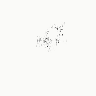 CCC(C)[C@H](NC(=O)[C@H](Cc1c[nH]cn1)NC(=O)[C@@H]1CSSC[C@H](C)C(=O)N2CCC[C@H]2C(=O)N[C@@H](Cc2ccc(O)cc2)C(=O)N[C@@H](CC(=O)O)C(=O)N[C@@H](CC(C)C)C(=O)N1)C(=O)N[C@@H](CC(C)C)C(N)=O